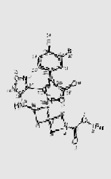 CC(C)(C)OC(=O)N1CC2(CC(Nc3nonc3-c3noc(=O)n3-c3ccc(F)c(Br)c3)C2)C1